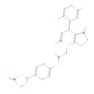 N#Cc1ccc(Cl)cc1-c1cc(=O)n(CC(=O)Nc2ccc(-c3noc(=O)[nH]3)cc2)c2c1C(=O)CC2